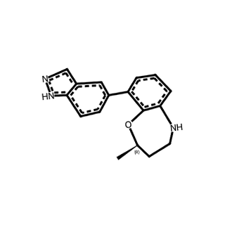 C[C@@H]1CCNc2cccc(-c3ccc4[nH]ncc4c3)c2O1